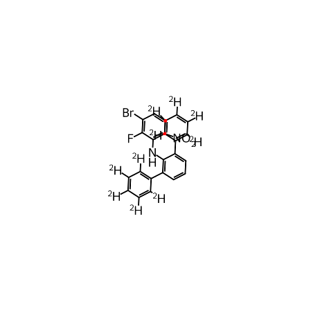 [2H]c1c([2H])c([2H])c(-c2cccc(-c3c([2H])c([2H])c([2H])c([2H])c3[2H])c2Nc2c([N+](=O)[O-])ccc(Br)c2F)c([2H])c1[2H]